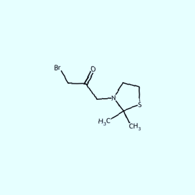 CC1(C)SCCN1CC(=O)CBr